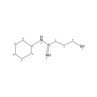 N=C(CCCS)NC1CCCCC1